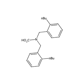 CCCCc1ccccc1CN(Cc1ccccc1CCCC)C(=O)O